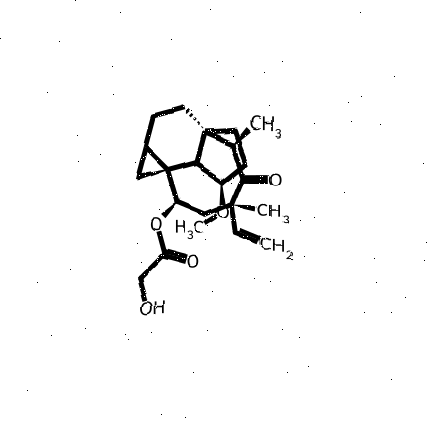 C=C[C@]1(C)C[C@@H](OC(=O)CO)[C@]23CC2CC[C@]2(CC[C@@H](OC)C23)[C@@H](C)C1=O